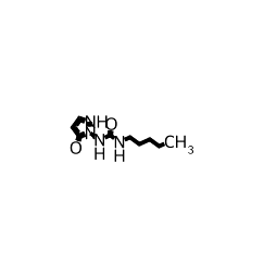 CCCCCNC(=O)Nn1[nH]ccc1=O